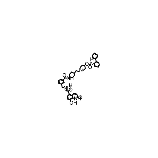 O=C(Nc1ccccc1-c1ccccc1)OC1CCN(CCC2CCC(NC(=O)c3cccc(CNC[C@H](O)c4ccc(O)c5[nH]c(=O)ccc45)c3)CC2)CC1